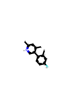 Cc1cc(C)c(-c2ccc(F)cc2C)cn1